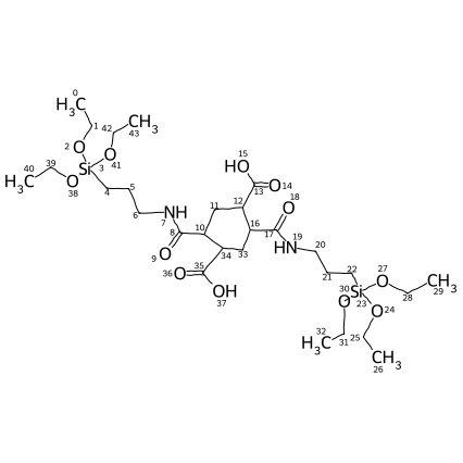 CCO[Si](CCCNC(=O)C1CC(C(=O)O)C(C(=O)NCCC[Si](OCC)(OCC)OCC)CC1C(=O)O)(OCC)OCC